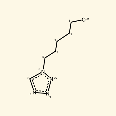 [O]CCCCCn1cnnn1